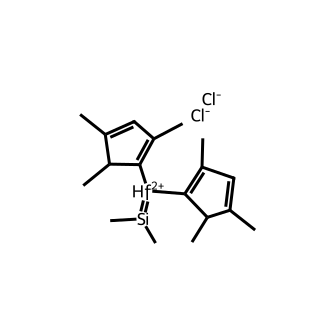 CC1=CC(C)=[C]([Hf+2]([C]2=C(C)C=C(C)C2C)=[Si](C)C)C1C.[Cl-].[Cl-]